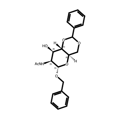 CC(=O)N[C@@H]1[C@@H](OCc2ccccc2)O[C@@H]2COC(c3ccccc3)O[C@H]2[C@@H]1O